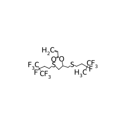 C=CC(=O)OC(CSCCC(C)(F)C(F)(F)F)CSCCC(F)(C(F)(F)F)C(F)(F)F